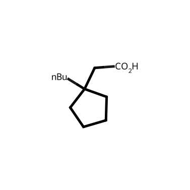 CCCCC1(CC(=O)O)CCCC1